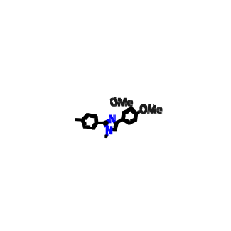 COc1ccc(-c2cn(C)c(-c3ccc(C)cc3)n2)cc1OC